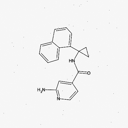 Nc1cc(C(=O)NC2(c3cccc4ccccc34)CC2)ccn1